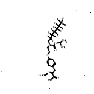 CCOC(Cc1ccc(OCCN(CC(F)(F)C(F)(F)C(F)(F)C(F)(F)C(F)(F)C(F)(F)F)C(=O)OC(C)C)cc1)C(=O)O